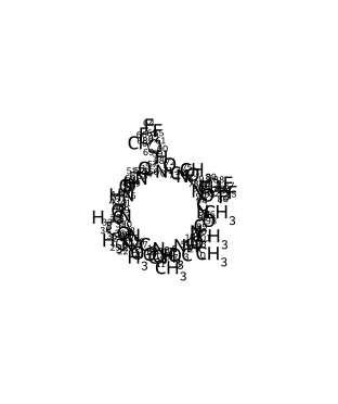 CC[C@H](C)[C@@H]1NC(=O)[C@H](CC(C)C)N(C)C(=O)C[C@@H](C(=O)N2CCCC2)N(C)C(=O)[C@H](C2CCCCC2)N(C)C(=O)C2(CCCC2)NC(=O)[C@@H]2CCCN2C(=O)[C@H](CCc2ccc(C(F)(F)F)c(Cl)c2)NC(=O)CN(C)C(=O)[C@H](Cc2ccc(C(F)(F)F)cc2)N(C)C(=O)CN(C)C(=O)CN(C)C1=O